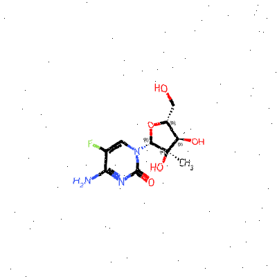 C[C@@]1(O)[C@H](O)[C@@H](CO)O[C@H]1n1cc(F)c(N)nc1=O